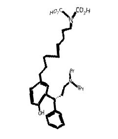 CC(C)N(CC[C@H](c1ccccc1)c1cc(CCCCCCCCN(C(=O)O)C(=O)O)ccc1O)C(C)C